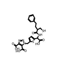 O=C(O)c1nnn(Cc2ccc(C(NC(=O)C(CS)CCc3ccccc3)C(=O)O)s2)c1C(=O)O